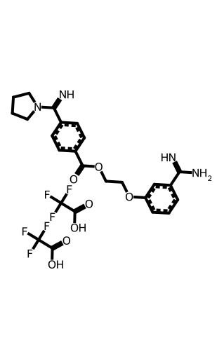 N=C(N)c1cccc(OCCOC(=O)c2ccc(C(=N)N3CCCC3)cc2)c1.O=C(O)C(F)(F)F.O=C(O)C(F)(F)F